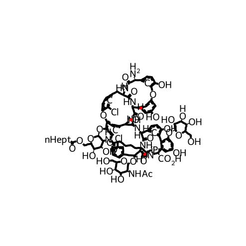 CCCCCCCC(=O)OCC1O[C@@H](Oc2c3cc4cc2Oc2ccc(cc2Cl)[C@@H](O[C@@H]2OC(CO)[C@@H](O)C(O)[C@@H]2NC(C)=O)[C@@H]2NC(=O)[C@H](NC(=O)[C@@H]4NC(=O)[C@H]4NC(=O)[C@@H](Cc5ccc(c(Cl)c5)O3)NC(=O)[C@H](N)c3ccc(O)c(c3)Oc3cc(O)cc4c3)c3ccc(O)c(c3)-c3c(O[C@H]4OC(CO)[C@@H](O)[C@@H](O)C4O)cc(O)cc3[C@@H](C(=O)O)NC2=O)C(NC(=O)CCCCCCC(C)C)[C@@H](O)[C@@H]1O